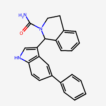 NC(=O)N1CCc2ccccc2C1c1c[nH]c2ccc(-c3ccccc3)cc12